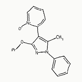 Cc1c(-c2cccc[n+]2[O-])c(OC(C)C)nn1-c1ccccc1